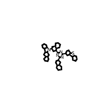 c1ccc2cc(-c3nc(-c4ccc5sc6ccccc6c5c4)nc(-c4cc(-n5c6ccccc6c6cc7ccccc7cc65)cc5ccccc45)n3)ccc2c1